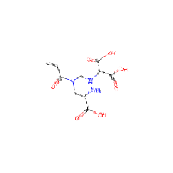 C=CC(=O)N(CNC(C(=O)O)C(=O)O)CC([NH])C(=O)O